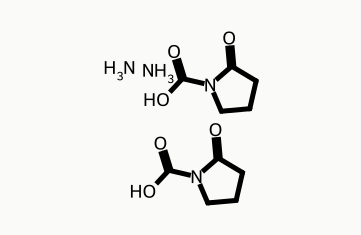 N.N.O=C(O)N1CCCC1=O.O=C(O)N1CCCC1=O